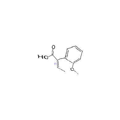 C/C=C(/C(=O)O)c1ccccc1OC